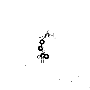 CN(C)CCNc1ccc(-c2cccc(Oc3cc(=O)[nH]c4ccccc34)c2)cc1